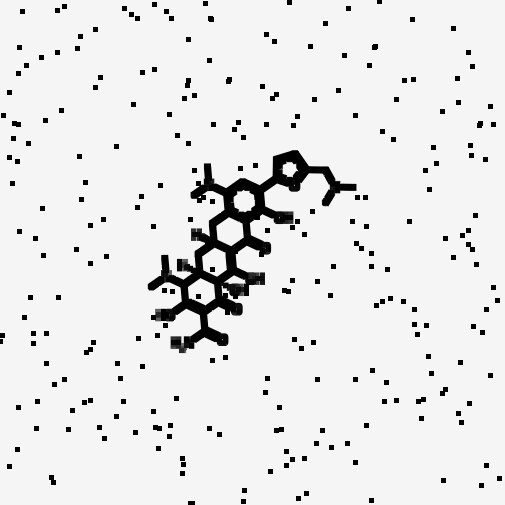 CN(C)Cc1ccc(-c2cc(N(C)C)c3c(c2O)C(=O)C2=C(O)[C@@]4(O)C(=O)C(C(N)=O)=C(O)C(N(C)C)[C@H]4C[C@@H]2C3)o1